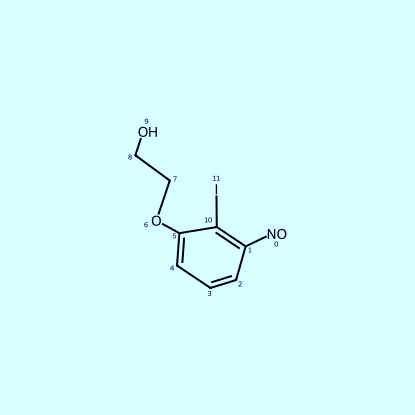 O=Nc1cccc(OCCO)c1I